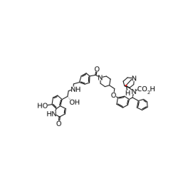 O=C(c1ccc(CNC[C@H](O)c2ccc(O)c3[nH]c(=O)ccc23)cc1)N1CCC(COc2cccc([C@H](c3ccccc3)N(C(=O)O)[C@H]3CN4CCC3CC4)c2)CC1